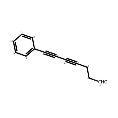 O=CCCC#CC#Cc1ccccc1